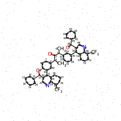 CC(C(=O)C(C)c1cccc(-c2c(C(=O)c3ccccc3)cnc3c(C(F)(F)F)cccc23)c1)c1cccc(-c2c(C(=O)c3ccccc3)cnc3c(C(F)(F)F)cccc23)c1